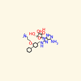 CN(C)CCCOc1cc(CNc2nc3c(N)ncnc3n2[C@@H]2O[C@H](CO)[C@@H](O)[C@H]2O)ccc1-c1ccccc1